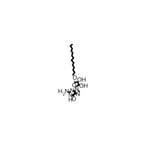 CCCCCCCCCCCCCCOC[C@H]1O[C@@H](n2cnc3c(=O)[nH]c(N)nc32)[C@H](O)[C@@H]1O